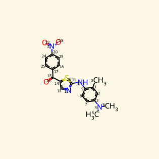 Cc1cc(N(C)C)ccc1Nc1ncc(C(=O)c2ccc([N+](=O)[O-])cc2)s1